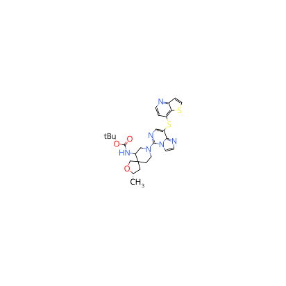 C[C@H]1CC2(CCN(c3ncc(Sc4ccnc5ccsc45)c4nccn34)CC2NC(=O)OC(C)(C)C)CO1